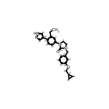 CCc1cc(N2CCN(Cc3cccc(OCC4CC4)c3)C2=O)ccc1-c1cn[nH]c1